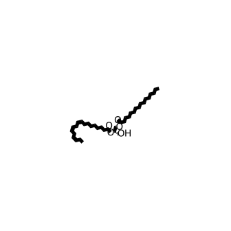 CC/C=C\C/C=C\C/C=C\CCCCCCCC(=O)O[C@@H](CO)COC(=O)CCCCCCCCCCCCCCC